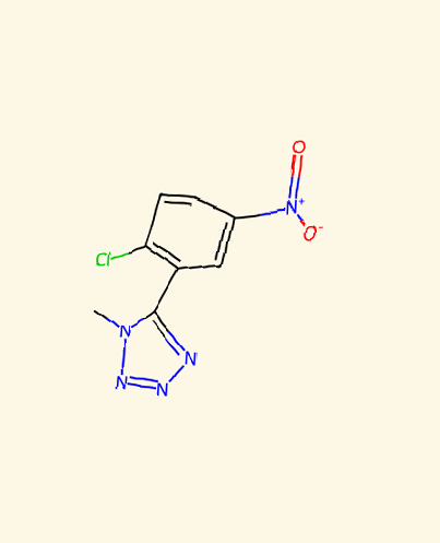 Cn1nnnc1-c1cc([N+](=O)[O-])ccc1Cl